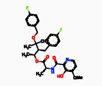 COc1ccnc(C(=O)N[C@@H](C)C(=O)O[C@@H](C)[C@H](Cc2ccc(F)cc2)C(C)(C)OCc2ccc(F)cc2)c1O